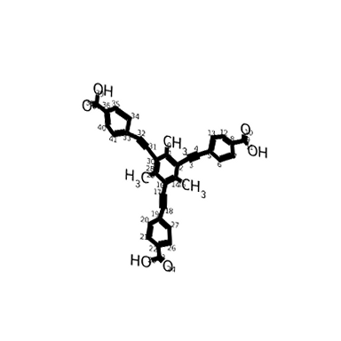 Cc1c(C#Cc2ccc(C(=O)O)cc2)c(C)c(C#Cc2ccc(C(=O)O)cc2)c(C)c1C#Cc1ccc(C(=O)O)cc1